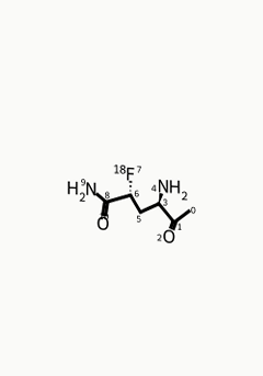 CC(=O)[C@H](N)C[C@@H]([18F])C(N)=O